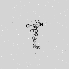 Cc1c(COc2cc(OCc3cncc(C#N)c3)c(C=O)cc2Cl)cccc1-c1cccc(OCCCN2CCCC3(CCOCC3)C2)c1C